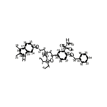 CC[Si](CC)(CC)O[C@@H](CNCCOc1ccc2c(C)c(C)[nH]c2c1)c1ccc(OCc2ccccc2)c(S(=O)(=O)NC)c1